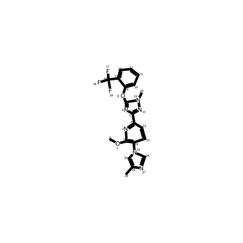 COc1nc(-c2nc(Oc3ccccc3C(F)(F)F)n(C)n2)ccc1-n1cnc(C)c1